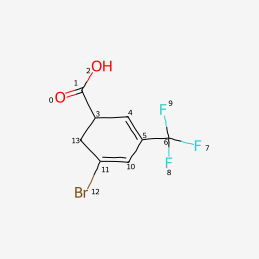 O=C(O)C1C=C(C(F)(F)F)C=C(Br)C1